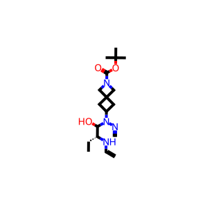 C=CN[C@H](CC)C(O)N(N=C)C1CC2(C1)CN(C(=O)OC(C)(C)C)C2